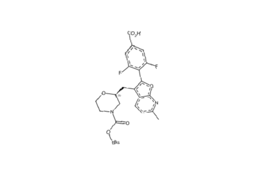 Cc1ccc2c(C[C@H]3CN(C(=O)OC(C)(C)C)CCO3)c(-c3c(F)cc(C(=O)O)cc3F)oc2n1